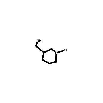 CCN1CCCC(CN)C1